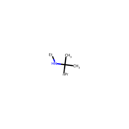 CCCC(C)(C)NCC